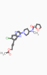 CC(=O)OCC#Cc1cc2nc(N3CCC(N(C)C(=O)[C@H]4CCCO4)CC3)cnc2cc1Cl